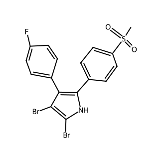 CS(=O)(=O)c1ccc(-c2[nH]c(Br)c(Br)c2-c2ccc(F)cc2)cc1